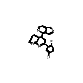 Fc1ccc(Cl)cc1-c1cc(-c2nccc3cnccc23)c2cccnc2n1